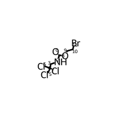 O=C(NCC(Cl)(Cl)Cl)OCCBr